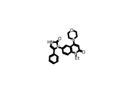 CCn1c(=O)cc(N2CCOCC2)c2cc(-n3c(-c4ccccc4)c[nH]c3=O)ccc21